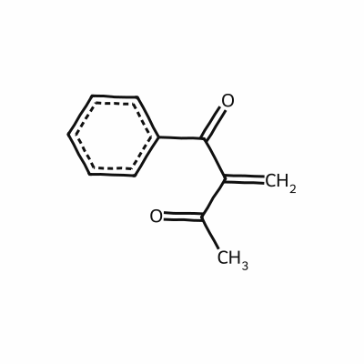 C=C(C(C)=O)C(=O)c1ccccc1